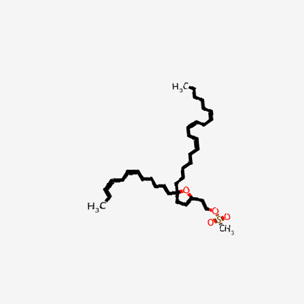 CC/C=C\C/C=C\CCCCCC1(CCCCC/C=C\C/C=C\C/C=C\CCCCC)CCC(CCOS(C)(=O)=O)O1